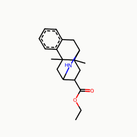 CCOC(=O)C1CC2(C)C3Cc4ccccc4C2(C)CC1N3